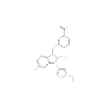 CCn1cc(-n2c(OC)c(Sc3cccc(C(=O)O)n3)c3ccc(Cl)cc32)cn1